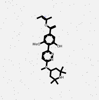 C=C(O/C(C)=C\C)c1cc(O)c(-c2ccc(N(C)C3CC(C)(C)NC(C)(C)C3)nn2)c(OC)c1